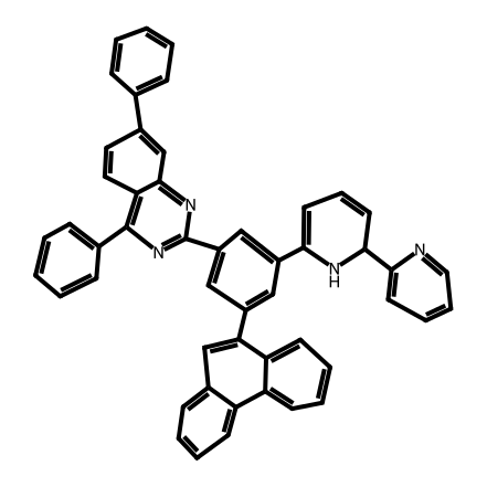 C1=CC(c2ccccn2)NC(c2cc(-c3nc(-c4ccccc4)c4ccc(-c5ccccc5)cc4n3)cc(-c3cc4ccccc4c4ccccc34)c2)=C1